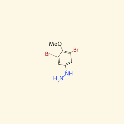 COc1c(Br)cc(NN)cc1Br